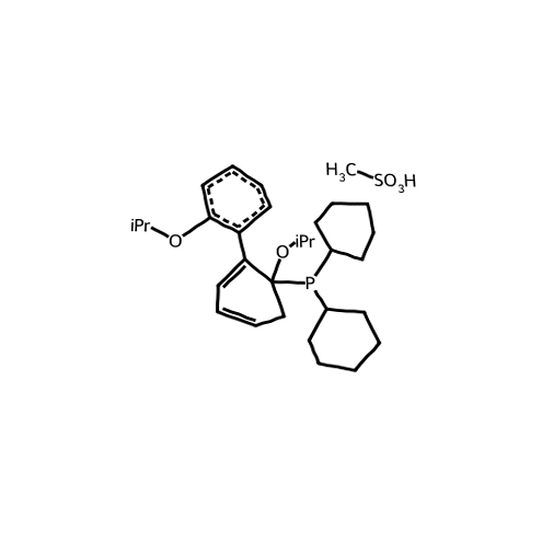 CC(C)Oc1ccccc1C1=CC=CCC1(OC(C)C)P(C1CCCCC1)C1CCCCC1.CS(=O)(=O)O